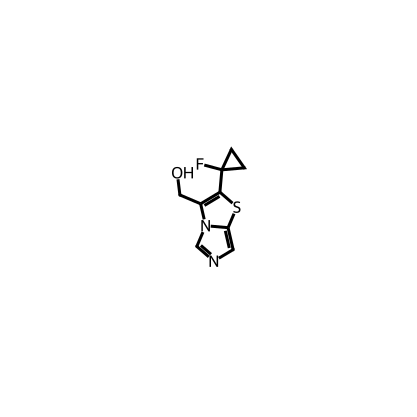 OCc1c(C2(F)CC2)sc2cncn12